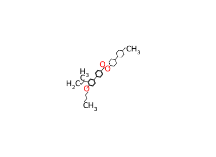 C=CC(C)c1cc(-c2ccc(C(=O)O[C@H]3CC[C@H]([C@H]4CC[C@H](CC)CC4)CC3)cc2)ccc1OCCCCC